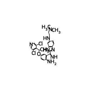 CC(Oc1ccc(N)c(C(=N)c2nc3ccc(NCCN(C)C)cc3[nH]2)c1)c1c(Cl)cncc1Cl